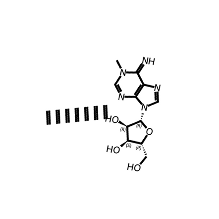 C=C.C=C.C=C.C=C.C=C.C=C.C=C.Cn1cnc2c(ncn2[C@@H]2O[C@H](CO)[C@@H](O)[C@H]2O)c1=N